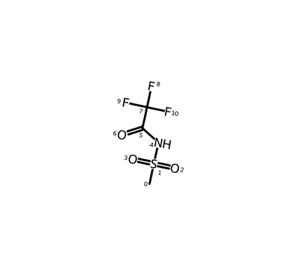 CS(=O)(=O)NC(=O)C(F)(F)F